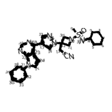 CS(=O)(=NC1CCCCC1)N1CC(CC#N)(n2cc(-c3ncnc4c3ccn4-c3ccccc3)cn2)C1